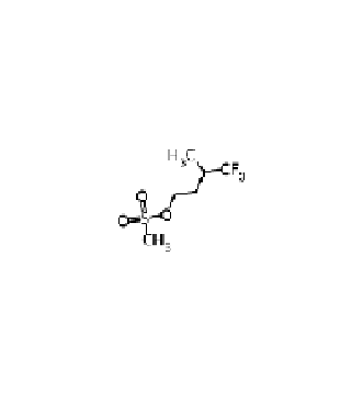 CC(CCOS(C)(=O)=O)C(F)(F)F